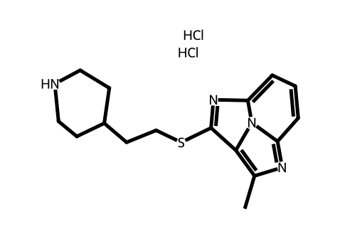 Cc1nc2cccc3nc(SCCC4CCNCC4)c1n23.Cl.Cl